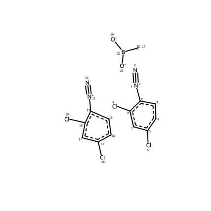 N#[N+]c1ccc(Cl)cc1Cl.N#[N+]c1ccc(Cl)cc1Cl.[O-]B([O-])F